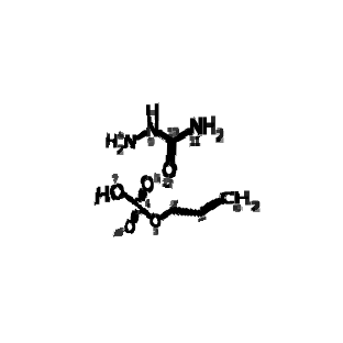 C=CCOS(=O)(=O)O.NNC(N)=O